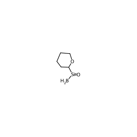 B[Si](=O)C1CCCCO1